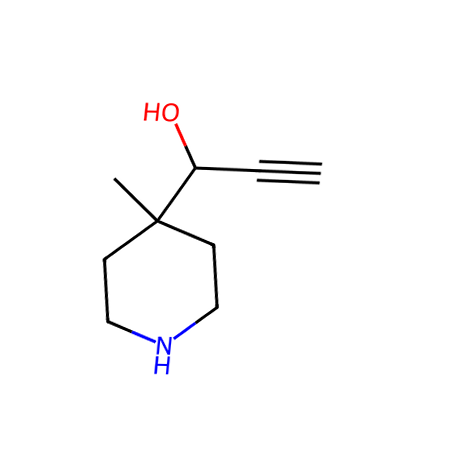 C#CC(O)C1(C)CCNCC1